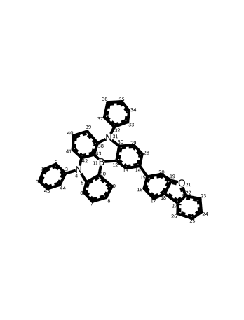 c1ccc(N2c3ccccc3B3c4cc(-c5ccc6c(c5)oc5ccccc56)ccc4N(c4ccccc4)c4cccc2c43)cc1